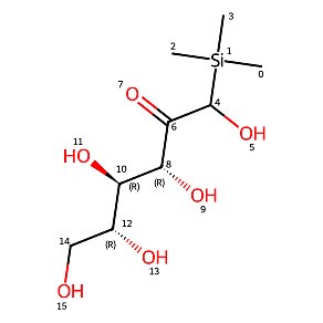 C[Si](C)(C)C(O)C(=O)[C@H](O)[C@H](O)[C@H](O)CO